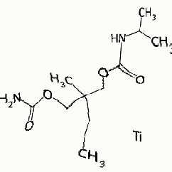 CCCC(C)(COC(N)=O)COC(=O)NC(C)C.[Ti]